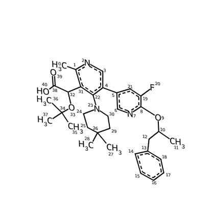 Cc1ncc(-c2cnc(OC(C)Cc3ccccc3)c(F)c2)c(N2CCC(C)(C)CC2)c1C(OC(C)(C)C)C(=O)O